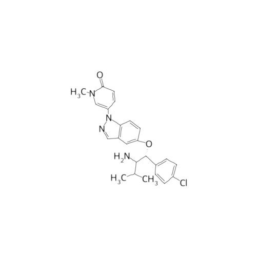 CC(C)C(N)[C@H](Oc1ccc2c(cnn2-c2ccc(=O)n(C)c2)c1)c1ccc(Cl)cc1